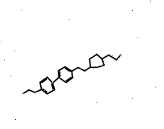 CCCc1ccc(-c2ccc(CCC3CCC(CCC)CC3)cc2)cc1